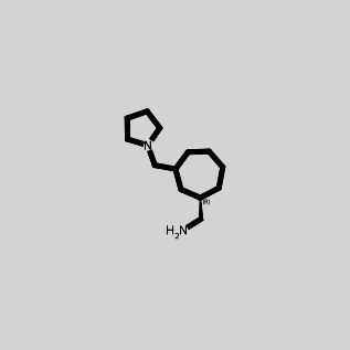 NC[C@@H]1CCCCC(CN2CCCC2)C1